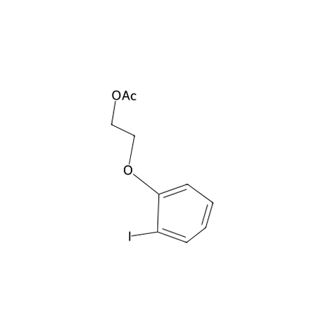 CC(=O)OCCOc1ccccc1I